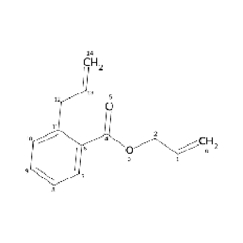 C=CCOC(=O)c1ccccc1CC=C